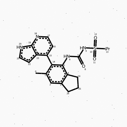 Cc1cc2c(c(NC(=O)NS(=O)(=O)C(C)C)c1-c1ccnc3[nH]ccc13)CCC2